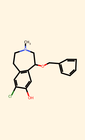 CN1CCc2cc(Cl)c(O)cc2C(OCc2ccccc2)C1